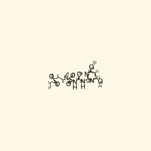 CCS(=O)(=O)CCN(C)S(=O)(=O)NC(=O)Nc1nc(OC)cc(OC)n1